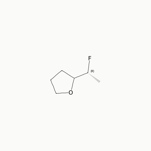 C[C@@H](F)C1CCCO1